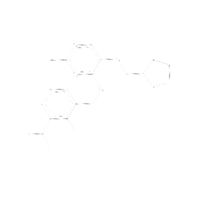 Cc1ncc(NCC2CCOC2)c(N[C@H](C)c2cccc(C(F)F)c2F)n1